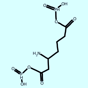 NC(CCCC(=O)O[PH](=O)O)CC(=O)O[PH](=O)O